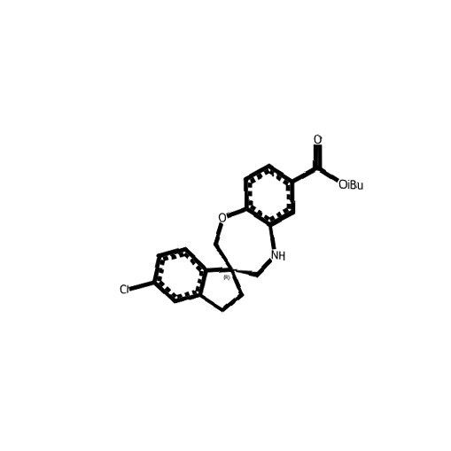 CC(C)COC(=O)c1ccc2c(c1)NC[C@]1(CCc3cc(Cl)ccc31)CO2